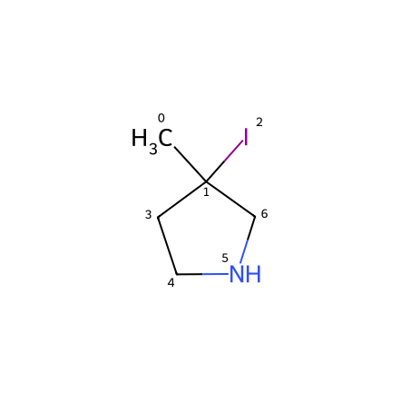 CC1(I)CCNC1